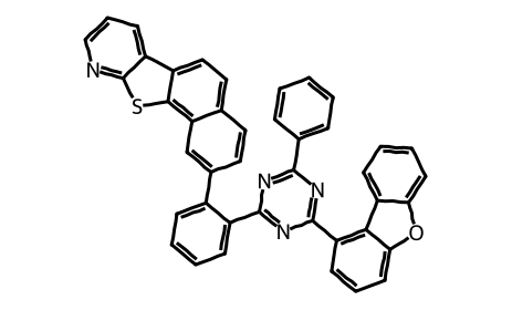 c1ccc(-c2nc(-c3ccccc3-c3ccc4ccc5c6cccnc6sc5c4c3)nc(-c3cccc4oc5ccccc5c34)n2)cc1